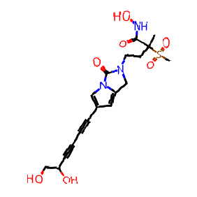 CC(CCN1Cc2cc(C#CC#CC(O)CO)cn2C1=O)(C(=O)NO)S(C)(=O)=O